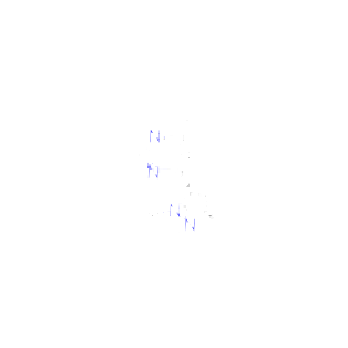 Cc1cc(-c2ccnn2C)ncn1